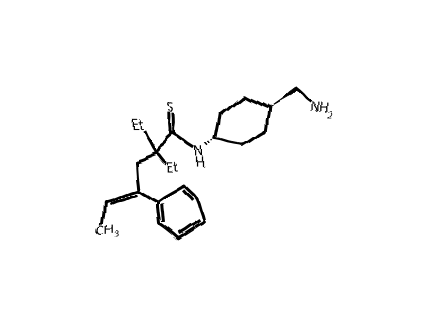 C/C=C(/CC(CC)(CC)C(=S)N[C@H]1CC[C@H](CN)CC1)c1ccccc1